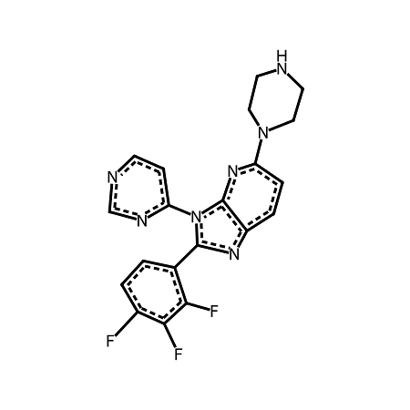 Fc1ccc(-c2nc3ccc(N4CCNCC4)nc3n2-c2ccncn2)c(F)c1F